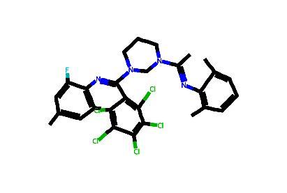 C/C(=N\c1c(C)cccc1C)N1CCCN(/C(=N/c2c(C)cc(C)cc2F)c2c(Cl)c(Cl)c(Cl)c(Cl)c2Cl)C1